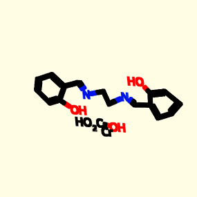 O=C(O)O.Oc1ccccc1/C=N/CC/N=C/c1ccccc1O.[Cr]